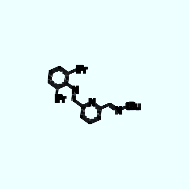 CC(C)c1cccc(C(C)C)c1N=Cc1cccc(C=NC(C)(C)C)n1